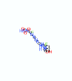 CCc1c(F)c2cnc(Nc3ccc(N4CCN(C5CCN(C6CN(c7cc8c(cc7F)C(=O)N(C7CCC(=O)NC7=O)C8)C6)CC5)CC4)cc3)nc2n1-c1ccc2c(n1)[C@@](O)(CC)CC2